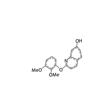 COc1cccc(Oc2ccc3ccc(O)cc3n2)c1OC